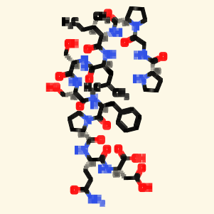 CC[C@H](C)[C@H](NC(=O)[C@@H]1CCCN1C(=O)CNC(=O)[C@@H]1CCCN1)C(=O)N[C@@H](CC(C)C)C(=O)N[C@@H](CO)C(=O)N[C@@H](CO)C(=O)N[C@@H](Cc1ccccc1)C(=O)N1CCC[C@H]1C(=O)N[C@@H](CCC(N)=O)C(=O)N[C@@H](CC(=O)O)C(=O)O